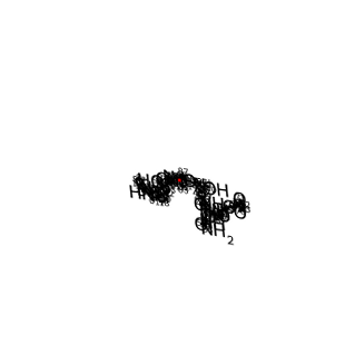 Cc1c(Nc2nc3ccccc3s2)nnc2c1CCCN2c1ccc(-c2cnn(CC34CC5(OCC[N+](C)(CCO)Cc6ccc(NC(=O)[C@H](CCCNC(N)=O)NC(=O)[C@@H](NC(=O)CCOCCN7C(=O)C=CC7=O)C(C)C)cc6)C[C@](C)(C3)C[C@](C)(C4)C5)c2C)c(C(=O)O)n1